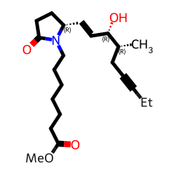 CCC#CC[C@@H](C)[C@@H](O)C=C[C@H]1CCC(=O)N1CCCCCCC(=O)OC